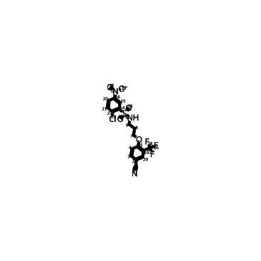 N#Cc1ccc(OCCCNS(=O)(=O)c2cc([N+](=O)[O-])ccc2Cl)c(C(F)(F)F)c1